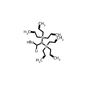 [Li][CH](CCCC)N([Si](CC=C)(CC=C)CC=C)[Si](CC=C)(CC=C)CC=C